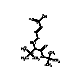 CC(C)(C)OC(=O)[C@H](NC/C=C/C(=O)O)C(C)(C)C